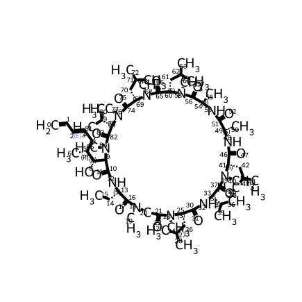 C=C/C=C/C[C@@H](C)[C@@H](O)C1C(=O)N[C@@H](CC)C(=O)N(C)CC(=O)N(C)[C@@H](CC(C)C)C(=O)N[C@@H](C(C)C)C(=O)N(C)[C@@H](CC(C)C)C(=O)N[C@@H](C)C(=O)N[C@H](C)C(=O)N(C)[C@@H](CC(C)C)C(=O)N(C)[C@@H](CC(C)C)C(=O)N(C)[C@@H](C(C)C)C(=O)N1C